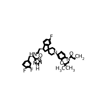 C=CC(=O)N1CC(C)(C)Oc2cc(N3CCC4(CC3)C[C@@H](CC(=O)N[C@H](Cc3ccc(F)c(F)c3)c3nn[nH]n3)c3ccc(F)cc34)ccc21